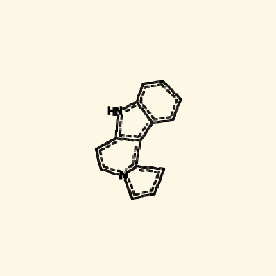 c1ccc2c(c1)[nH]c1ccn3cccc3c12